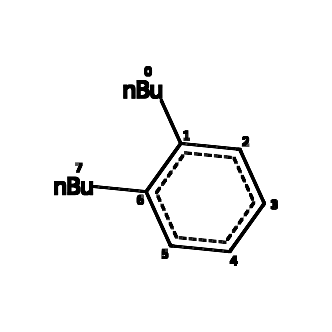 [CH2]CCCc1ccccc1CCCC